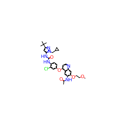 COCCOc1cc2nccc(Oc3ccc(NC(=O)Nc4cc(C(C)(C)C)nn4CC4CC4)c(Cl)c3)c2cc1NC(C)=O